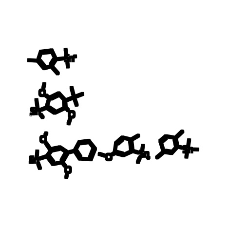 COc1c[c]([Sn]([CH3])([CH3])[CH3])c(OC)cc1-c1ccccc1.COc1c[c]([Sn]([CH3])([CH3])[CH3])c(OC)cc1C(C)(C)C.COc1ccc(C)[c]([Sn]([CH3])([CH3])[CH3])c1.Cc1cc[c]([Sn]([CH3])([CH3])[CH3])c(C)c1.Cc1ccc(C)[c]([Sn]([CH3])([CH3])[CH3])c1